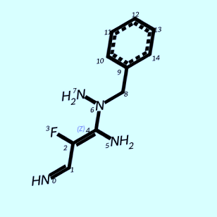 N=C/C(F)=C(\N)N(N)Cc1ccccc1